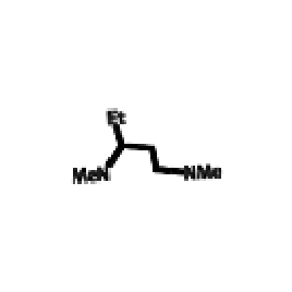 CCC(CCNC)NC